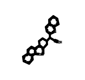 C#CC(c1ccc2ccccc2n1)C1CCc2c(ccc3c2ccc2ccccc23)C1